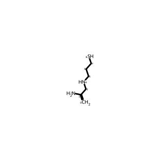 C=C(N)CNCCCS